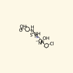 Cc1nn(-c2cccc(Cl)c2)c(O)c1/C=N/NC(=S)Nc1ccc(C(=O)O)cc1